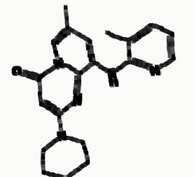 Cc1cc(Nc2ncccc2C)c2nc(N3CCCCC3)cc(=O)n2c1